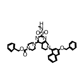 CNS(=O)(=O)c1nc2c(c(N3CCN(C(=O)OCc4ccccc4)CC3)n1)CCN(c1cc(OCc3ccccc3)cc3ccccc13)C2